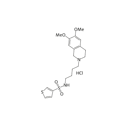 COc1cc2c(cc1OC)CN(CCCCNS(=O)(=O)c1ccsc1)CC2.Cl